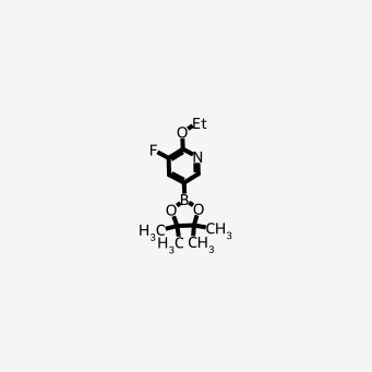 CCOc1ncc(B2OC(C)(C)C(C)(C)O2)cc1F